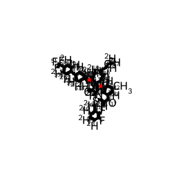 [2H]c1c([2H])c(F)c(F)c(C([2H])([2H])Sc2c([2H])c(=O)c3c([2H])c(C)c([2H])c([2H])c3n2C([2H])([2H])C(=O)N(C([2H])([2H])c2c([2H])c([2H])c(-c3c([2H])c([2H])c(C(F)(F)F)c([2H])c3[2H])c([2H])c2[2H])C2([2H])C([2H])([2H])C([2H])([2H])N(CCOC([2H])([2H])[2H])C([2H])([2H])C2([2H])[2H])c1[2H]